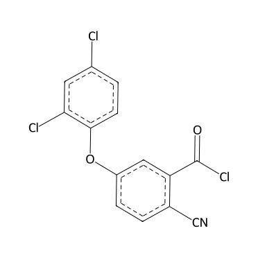 N#Cc1ccc(Oc2ccc(Cl)cc2Cl)cc1C(=O)Cl